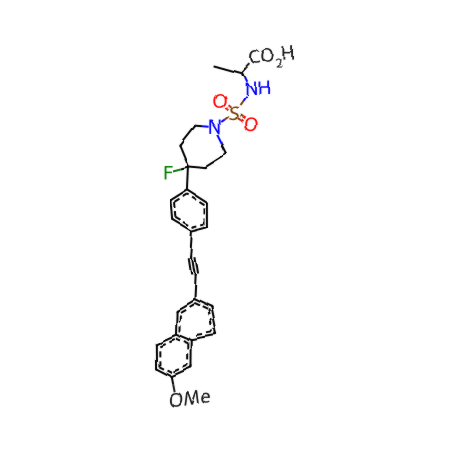 COc1ccc2cc(C#Cc3ccc(C4(F)CCN(S(=O)(=O)NC(C)C(=O)O)CC4)cc3)ccc2c1